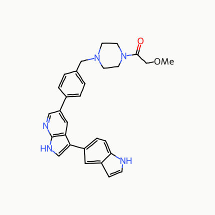 COCC(=O)N1CCN(Cc2ccc(-c3cnc4[nH]cc(-c5ccc6[nH]ccc6c5)c4c3)cc2)CC1